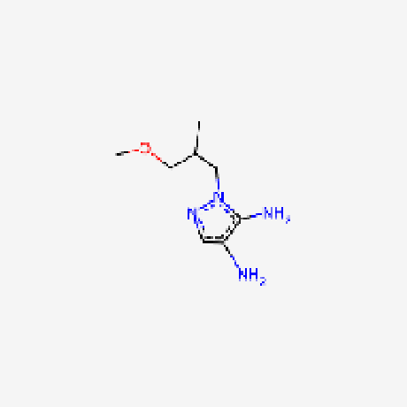 COCC(C)Cn1ncc(N)c1N